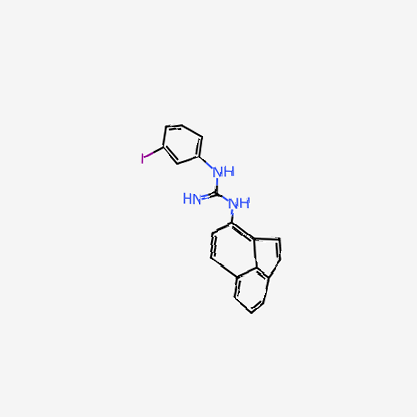 N=C(Nc1cccc(I)c1)Nc1ccc2cccc3c2c1C=C3